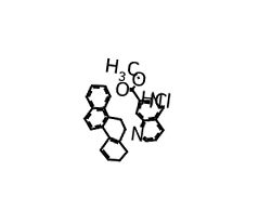 C1=CC2=C(CC1)CCc1c2ccc2ccccc12.COC(=O)c1cc2ncccc2cn1.Cl